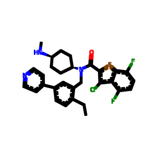 CCc1ccc(-c2ccncc2)cc1CN(C(=O)c1sc2c(F)ccc(F)c2c1Cl)[C@H]1CC[C@H](NC)CC1